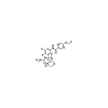 NC1=N[C@](CF)(c2cc(NC(=O)c3cnc(OCF)cn3)cc(F)c2F)[C@H]2COCC[C@H]2O1